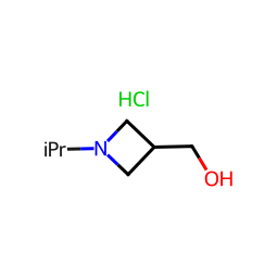 CC(C)N1CC(CO)C1.Cl